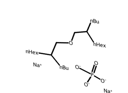 CCCCCCC(CCCC)COCC(CCCC)CCCCCC.O=P([O-])([O-])[O-].[Na+].[Na+].[Na+]